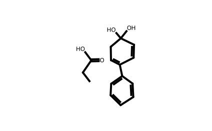 CCC(=O)O.OC1(O)C=CC(c2ccccc2)=CC1